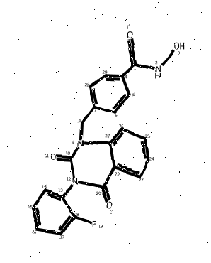 O=C(NO)c1ccc(Cn2c(=O)n(-c3ccccc3F)c(=O)c3ccccc32)cc1